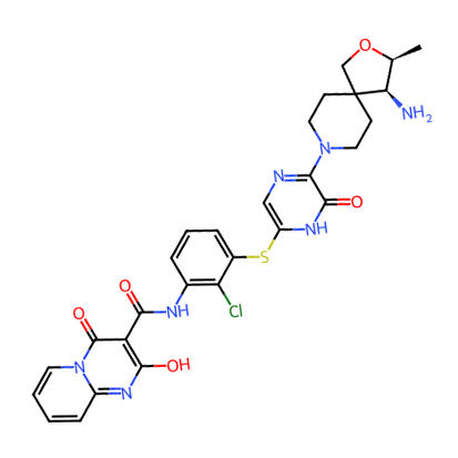 C[C@@H]1OCC2(CCN(c3ncc(Sc4cccc(NC(=O)c5c(O)nc6ccccn6c5=O)c4Cl)[nH]c3=O)CC2)[C@@H]1N